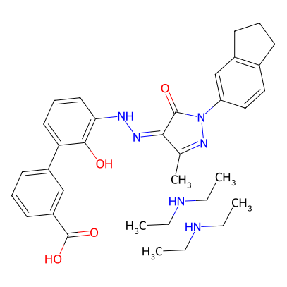 CC1=NN(c2ccc3c(c2)CCC3)C(=O)C1=NNc1cccc(-c2cccc(C(=O)O)c2)c1O.CCNCC.CCNCC